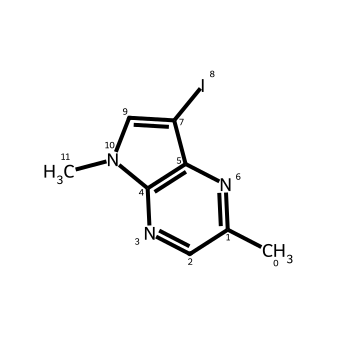 Cc1cnc2c(n1)c(I)cn2C